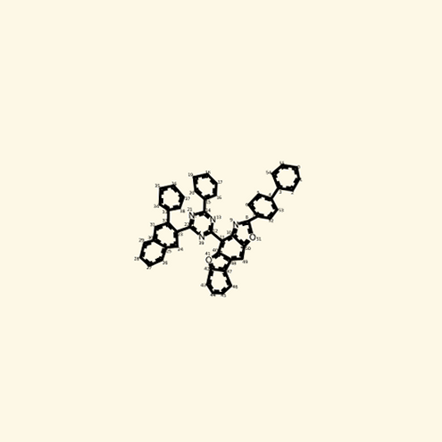 c1ccc(-c2ccc(-c3nc4c(-c5nc(-c6ccccc6)nc(-c6cc7ccccc7cc6-c6ccccc6)n5)c5oc6ccccc6c5cc4o3)cc2)cc1